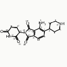 Nc1c(C2CCNCC2)ccc2c1C(=O)N(C1CCC(=O)NC1=O)C2=O